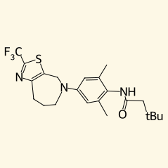 Cc1cc(N2CCCc3nc(C(F)(F)F)sc3C2)cc(C)c1NC(=O)CC(C)(C)C